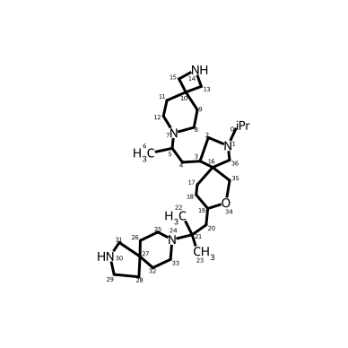 CC(C)N1CC(CC(C)N2CCC3(CC2)CNC3)C2(CCC(CC(C)(C)N3CCC4(CCNC4)CC3)OC2)C1